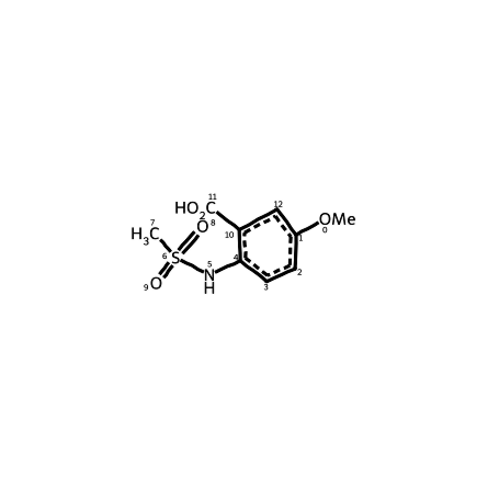 COc1ccc(NS(C)(=O)=O)c(C(=O)O)c1